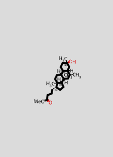 COC(=O)CCC[C@H]1CC[C@H]2[C@@H]3C[C@@H](C)[C@H]4C[C@@](C)(O)CC[C@]4(C)[C@H]3CC[C@]12C